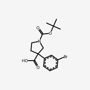 CC(C)(C)OC(=O)N1CCC(C(=O)O)(c2cccc(Br)c2)C1